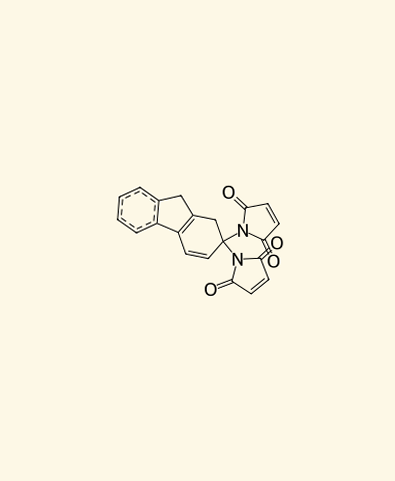 O=C1C=CC(=O)N1C1(N2C(=O)C=CC2=O)C=CC2=C(Cc3ccccc32)C1